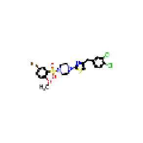 COc1ccc(Br)cc1S(=O)(=O)N1CCN(c2nc(Cc3ccc(Cl)c(Cl)c3)cs2)CC1